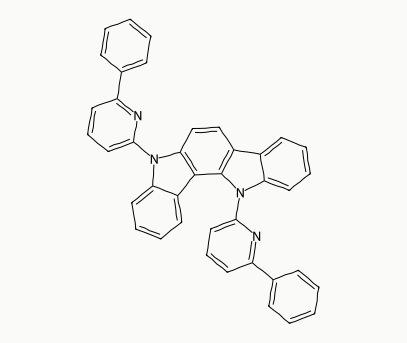 c1ccc(-c2cccc(-n3c4ccccc4c4c3ccc3c5ccccc5n(-c5cccc(-c6ccccc6)n5)c34)n2)cc1